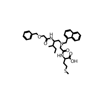 CCC(C)C(CN(CC(=O)NC(CCSC)C(=O)O)Cc1cccc2ccccc12)NC(=O)COCc1ccccc1